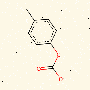 Cc1ccc(OC([O])=O)cc1